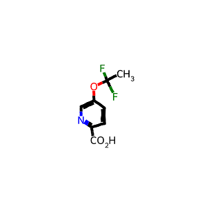 CC(F)(F)Oc1ccc(C(=O)O)nc1